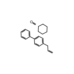 C1CCCCC1.C=CCc1ccc(-c2ccccc2)cc1.C=O